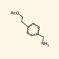 CC(=O)OCCc1ccc(CN)cc1